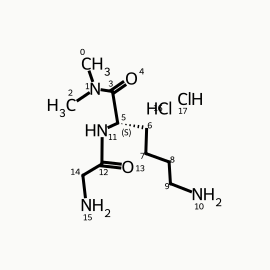 CN(C)C(=O)[C@H](CCCCN)NC(=O)CN.Cl.Cl